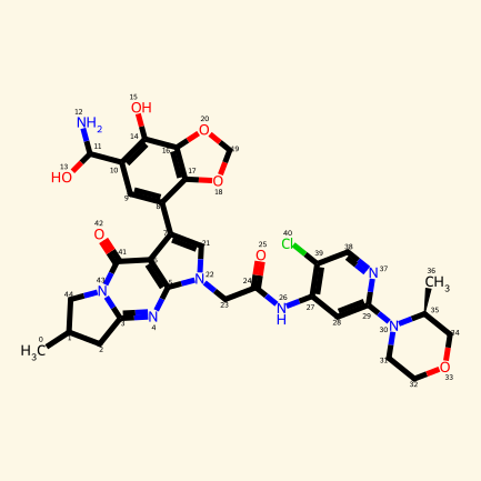 CC1Cc2nc3c(c(-c4cc(C(N)O)c(O)c5c4OCO5)cn3CC(=O)Nc3cc(N4CCOC[C@@H]4C)ncc3Cl)c(=O)n2C1